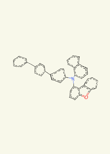 c1ccc(-c2ccc(-c3ccc(N(c4cccc5ccccc45)c4cccc5oc6ccccc6c45)cc3)cc2)cc1